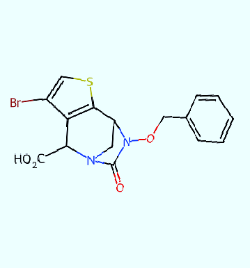 O=C(O)C1c2c(Br)csc2C2CN1C(=O)N2OCc1ccccc1